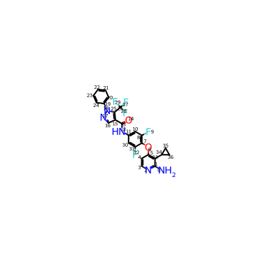 Nc1nccc(Oc2c(F)cc(NC(=O)c3cnn(-c4ccccc4)c3C(F)(F)F)cc2F)c1C1CC1